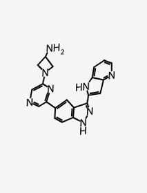 NC1CN(c2cncc(-c3ccc4[nH]nc(-c5cc6ncccc6[nH]5)c4c3)n2)C1